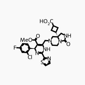 COC(=O)C1=C(CN2CCN3C(=O)NC[C@]3(C3CC(C(=O)O)C3)C2)NC(c2nccs2)=N[C@H]1c1ccc(F)cc1Cl